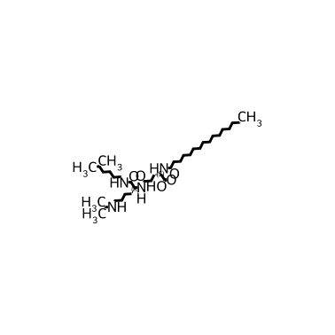 CCCCCCCCCCCCCCCC(=O)N[C@@H](CCC(=O)N[C@H](CCCCNC(C)C)C(=O)NCCCCC(C)C)C(=O)O